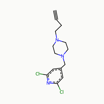 C#CCCN1CCN(Cc2cc(Cl)nc(Cl)c2)CC1